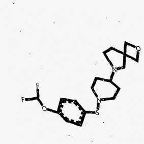 FC(F)Oc1ccc(SN2CCC(N3CCC4(COC4)C3)CC2)cc1